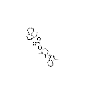 CC1=C[SH](c2cc(C)c(OCC(=O)OC3Cc4cccc5cccc3c45)c(C)c2)c2ccccc21